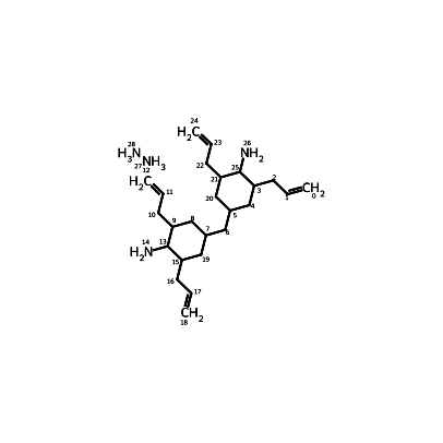 C=CCC1CC(CC2CC(CC=C)C(N)C(CC=C)C2)CC(CC=C)C1N.N.N